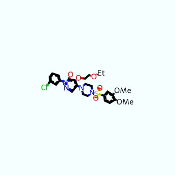 CCOCCOc1c(N2CCN(S(=O)(=O)c3ccc(OC)c(OC)c3)CC2)cnn(-c2cccc(Cl)c2)c1=O